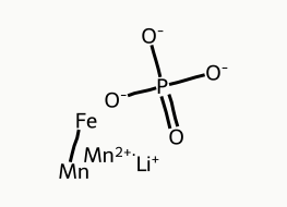 O=P([O-])([O-])[O-].[Li+].[Mn+2].[Mn][Fe]